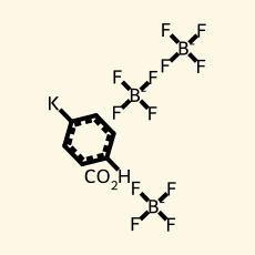 F[B-](F)(F)F.F[B-](F)(F)F.F[B-](F)(F)F.O=C(O)c1cc[c]([K])cc1